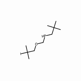 CC(C)(C)CPCOCC(C)(C)I